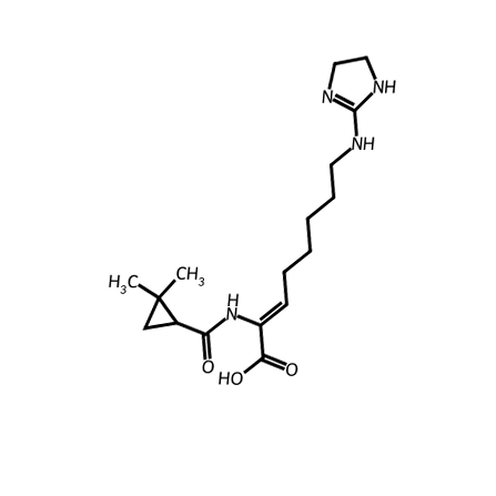 CC1(C)CC1C(=O)N/C(=C\CCCCCNC1=NCCN1)C(=O)O